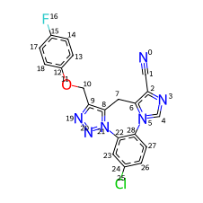 N#Cc1ncn2c1Cc1c(COc3ccc(F)cc3)nnn1-c1cc(Cl)ccc1-2